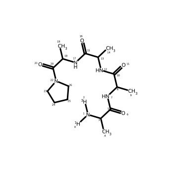 [1H]N([3H])C(C)C(=O)NC(C)C(=O)NC(C)C(=O)NC(C)C(=O)N1CCCC1